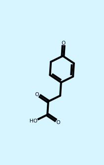 O=C1C=CC(CC(=O)C(=O)O)=CC1